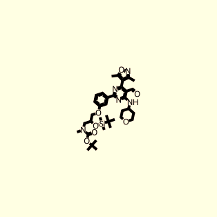 Cc1noc(C)c1-c1nc(-c2cccc(OCC(CN(C)C(=O)OC(C)(C)C)O[Si](C)(C)C(C)(C)C)c2)nc(NC2CCOCC2)c1C=O